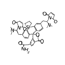 CN(C)C(Cc1ccc2c(c1)[Si]1(CCCC1)c1cc(CC(N(C)C)N3C(=O)C=CC3=O)ccc1C21OC(=O)c2ccc(C(N)=O)cc21)N1C(=O)C=CC1=O